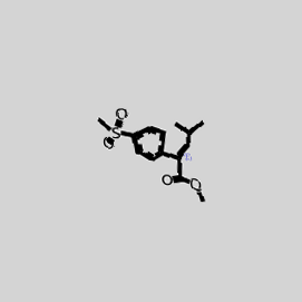 COC(=O)/C(=C/C(C)C)c1ccc(S(C)(=O)=O)cc1